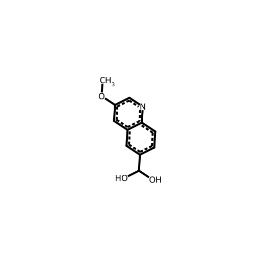 COc1cnc2ccc(C(O)O)cc2c1